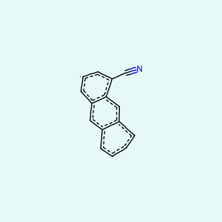 N#Cc1c[c]cc2cc3ccccc3cc12